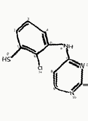 Sc1cccc(Nc2ccncn2)c1Cl